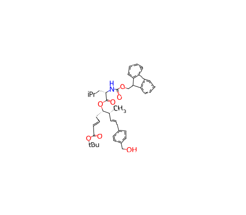 CC(C)C[C@H](NC(=O)OCC1c2ccccc2-c2ccccc21)C(=O)O[C@@H](C/C=C/C(=O)OC(C)(C)C)[C@H](C)/C=C/c1ccc(CO)cc1